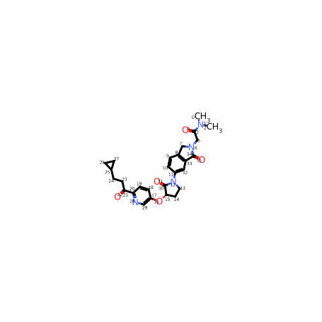 CN(C)C(=O)CN1Cc2ccc(N3CC[C@@H](Oc4ccc(C(=O)CCC5CC5)nc4)C3=O)cc2C1=O